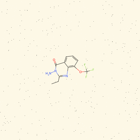 CCc1nc2c(OC(F)(F)F)cccc2c(=O)n1N